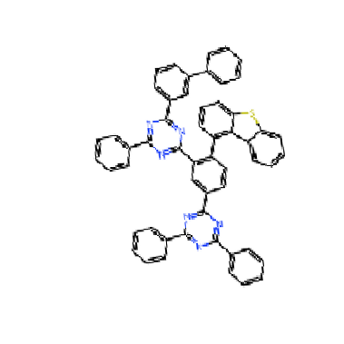 c1ccc(-c2cccc(-c3nc(-c4ccccc4)nc(-c4cc(-c5nc(-c6ccccc6)nc(-c6ccccc6)n5)ccc4-c4cccc5sc6ccccc6c45)n3)c2)cc1